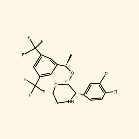 C[C@@H](O[C@H]1OCCN[C@H]1c1ccc(Cl)c(Cl)c1)c1cc(C(F)(F)F)cc(C(F)(F)F)c1